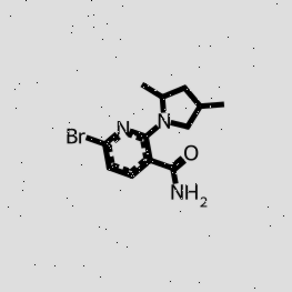 CC1CC(C)N(c2nc(Br)ccc2C(N)=O)C1